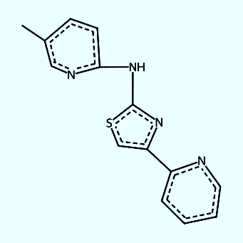 Cc1ccc(Nc2nc(-c3ccccn3)cs2)nc1